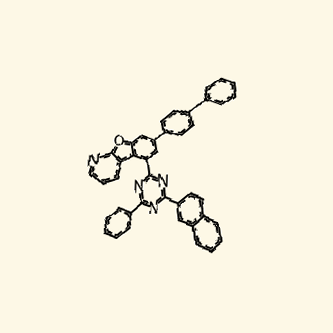 c1ccc(-c2ccc(-c3cc(-c4nc(-c5ccccc5)nc(-c5ccc6ccccc6c5)n4)c4c(c3)oc3ncccc34)cc2)cc1